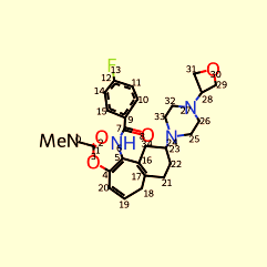 CNC(=O)OC1=C(NC(=O)c2ccc(F)cc2)C2=C(CC=C1)CCC(N1CCN(C3COC3)CC1)C2